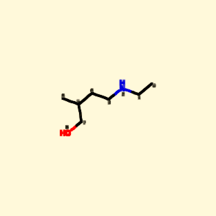 CCNCCC(C)CO